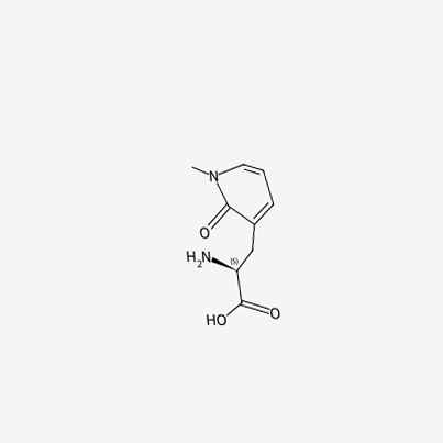 Cn1cccc(C[C@H](N)C(=O)O)c1=O